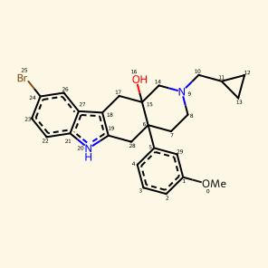 COc1cccc(C23CCN(CC4CC4)CC2(O)Cc2c([nH]c4ccc(Br)cc24)C3)c1